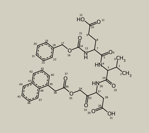 CC(C)C(NC(=O)C(CCC(=O)O)NC(=O)OCc1ccccc1)C(=O)NC(CC(=O)O)C(=O)COC(=O)Cc1cccc2ccccc12